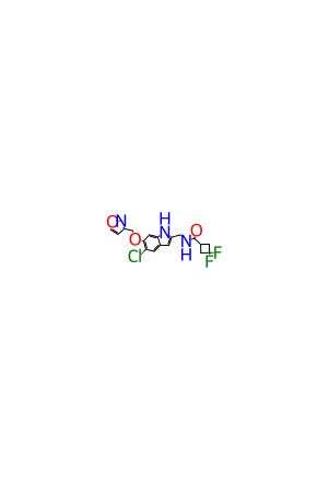 O=C(NCc1cc2cc(Cl)c(OCc3ccon3)cc2[nH]1)C1CC(F)(F)C1